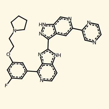 Fc1cc(OCCN2CCCC2)cc(-c2nccc3[nH]c(-c4n[nH]c5cnc(-c6cnccn6)cc45)nc23)c1